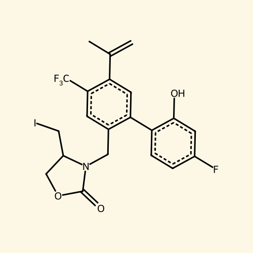 C=C(C)c1cc(-c2ccc(F)cc2O)c(CN2C(=O)OCC2CI)cc1C(F)(F)F